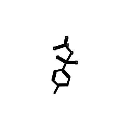 Cc1ccc(S(=O)(=O)O[SH](=O)=O)cc1